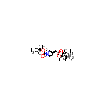 CC(C)(C)OC(=O)N1CCC(=CB2OC(C)(C)C(C)(C)O2)C1